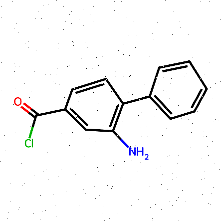 Nc1cc(C(=O)Cl)ccc1-c1ccccc1